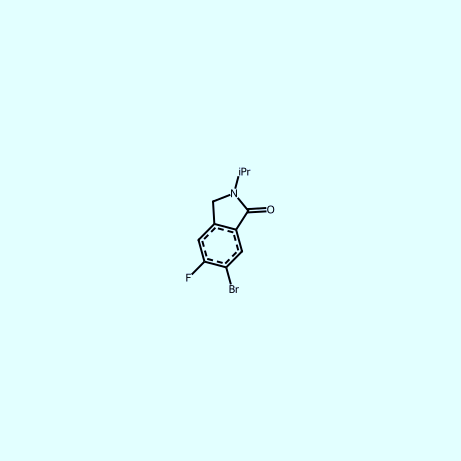 CC(C)N1Cc2cc(F)c(Br)cc2C1=O